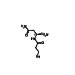 NC(=O)C[C@H](NC(=O)CCS)C(=O)O